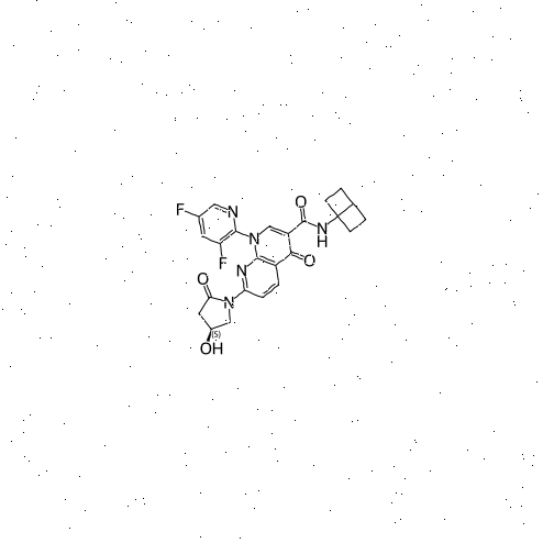 O=C(NC12CCC1CC2)c1cn(-c2ncc(F)cc2F)c2nc(N3C[C@@H](O)CC3=O)ccc2c1=O